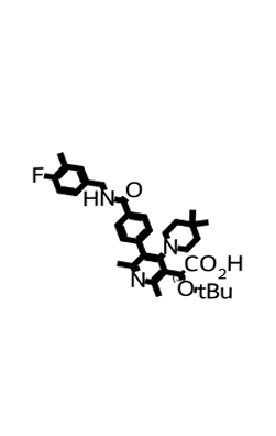 Cc1cc(CNC(=O)c2ccc(-c3c(C)nc(C)c([C@H](OC(C)(C)C)C(=O)O)c3N3CCC(C)(C)CC3)cc2)ccc1F